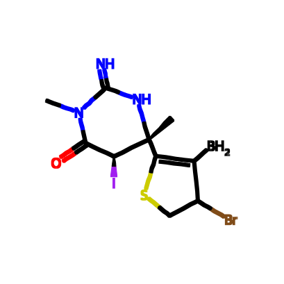 BC1=C([C@@]2(C)NC(=N)N(C)C(=O)[C@@H]2I)SCC1Br